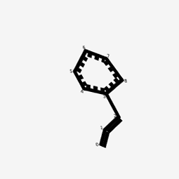 C=C=Cc1cc[c]cc1